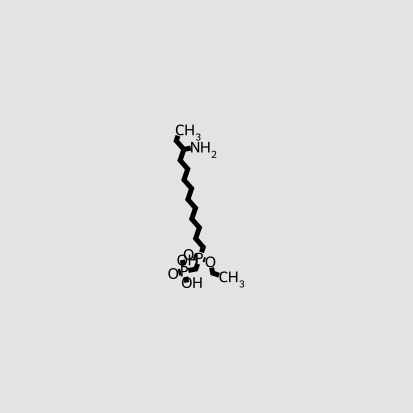 CCOP(=O)(CCCCCCCCCCC(N)CC)CP(=O)(O)O